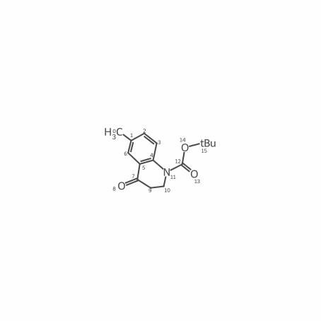 Cc1ccc2c(c1)C(=O)CCN2C(=O)OC(C)(C)C